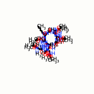 CCCCCCCC[C@H]1NC(=O)[C@H](CCNC(=O)OC(C)(C)C)NC(=O)[C@@H](NC(=O)[C@H](CCNC(=O)OC(C)(C)C)NC(=O)[C@@H](NC(=O)[C@@H](N)CCNC(=O)OC(C)(C)C)[C@@H](C)O)CCNC(=O)[C@H]([C@@H](C)O)NC(=O)[C@H](CCNC(=O)OC(C)(C)C)NC(=O)[C@H](CCNC(=O)OC(C)(C)C)NC(=O)[C@H](CC)NC1=O